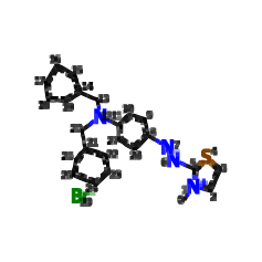 C[n+]1ccsc1/N=N/c1ccc(N(Cc2ccccc2)Cc2ccccc2)cc1.[Br-]